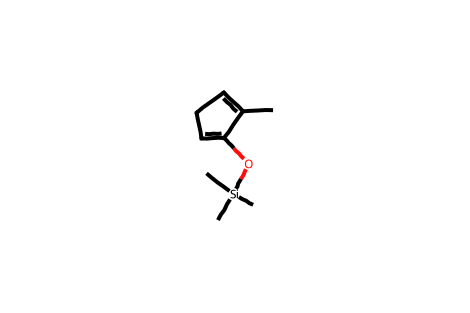 CC1=CCC=C1O[Si](C)(C)C